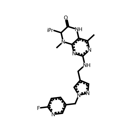 Cc1nc(NCc2cnn(Cc3ccc(F)nc3)c2)nc2c1NC(=O)C(C(C)C)N2C